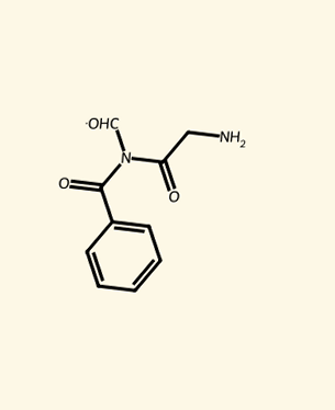 NCC(=O)N([C]=O)C(=O)c1ccccc1